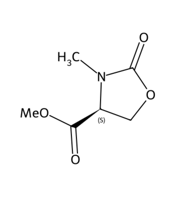 COC(=O)[C@@H]1COC(=O)N1C